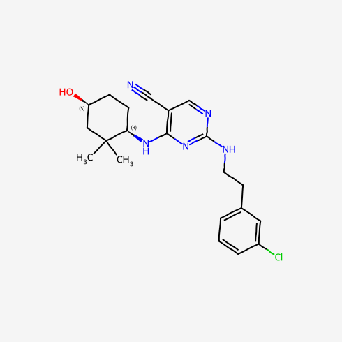 CC1(C)C[C@@H](O)CC[C@H]1Nc1nc(NCCc2cccc(Cl)c2)ncc1C#N